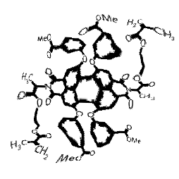 C=C(C)C(=O)OCCOC(=O)C(C)N1C(=O)c2cc(Oc3cccc(C(=O)OC)c3)c3c4c(Oc5cccc(C(=O)OC)c5)cc5c6c(cc(Oc7cccc(C(=O)OC)c7)c(c7c(Oc8cccc(C(=O)OC)c8)cc(c2c37)C1=O)c64)C(=O)N(C(C)C(=O)OCCOC(=O)C(=C)C)C5=O